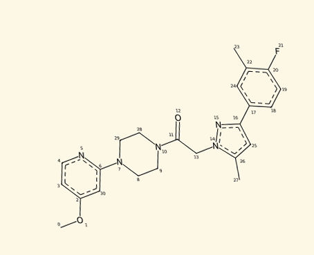 COc1ccnc(N2CCN(C(=O)Cn3nc(-c4ccc(F)c(C)c4)cc3C)CC2)c1